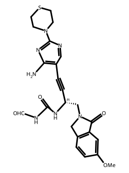 COc1ccc2c(c1)C(=O)N(C[C@@H](C#Cc1cnc(N3CCSCC3)nc1N)NC(=O)NC=O)C2